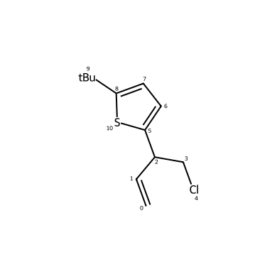 C=CC(CCl)c1ccc(C(C)(C)C)s1